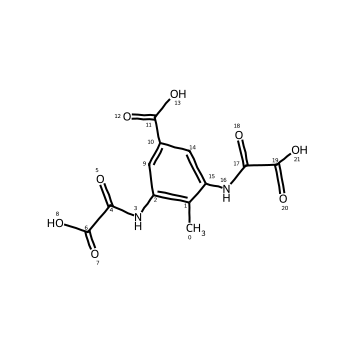 Cc1c(NC(=O)C(=O)O)cc(C(=O)O)cc1NC(=O)C(=O)O